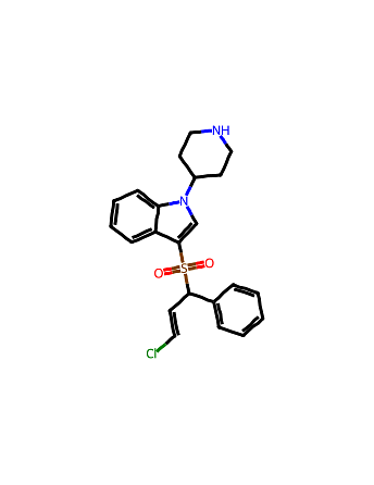 O=S(=O)(c1cn(C2CCNCC2)c2ccccc12)C(C=CCl)c1ccccc1